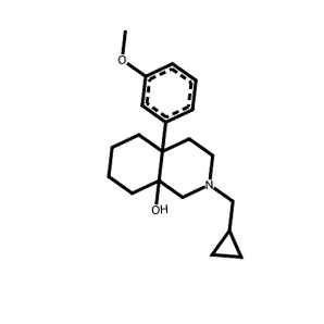 COc1cccc(C23CCCCC2(O)CN(CC2CC2)CC3)c1